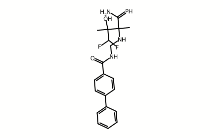 CC(NCNC(=O)c1ccc(-c2ccccc2)cc1)(C(N)=P)C(C)(O)C(F)F